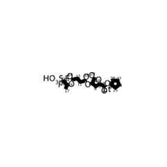 CCC1(OC(=O)C2CC(OC(=O)CCC(=O)OC(C)C(F)(F)S(=O)(=O)O)C(=O)O2)CCCC1